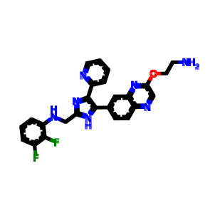 NCCOc1cnc2ccc(-c3[nH]c(CNc4cccc(F)c4F)nc3-c3ccccn3)cc2n1